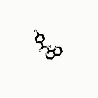 CCc1ccc(C(=O)Nc2nccc3cccnc23)cc1